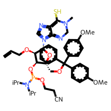 C=CCO[C@@H]1[C@H](OP(OCCC#N)N(C(C)C)C(C)C)[C@@H](COC(c2ccccc2)(c2ccc(OC)cc2)c2ccc(OC)cc2)O[C@H]1n1cnc2c1=NCN(C)C=2S